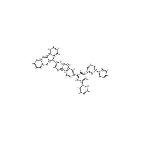 C1=CCC(c2cccc(-c3nc(-c4ccc5c(c4)oc4cc(N6c7ccccc7C7=Cc8ccccc8CC76)ccc45)nc(C4C=CC=CC4)n3)c2)C=C1